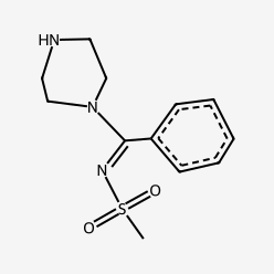 CS(=O)(=O)/N=C(\c1ccccc1)N1CCNCC1